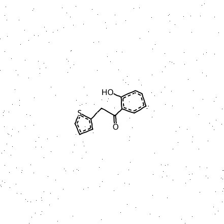 O=C(Cc1cccs1)c1c[c]ccc1O